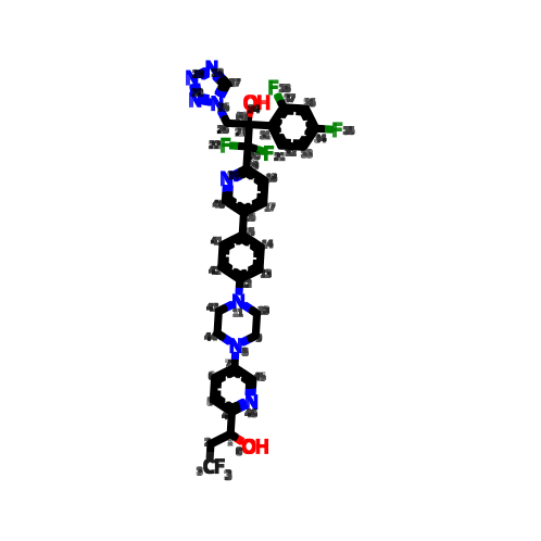 OC(CC(F)(F)F)c1ccc(N2CCN(c3ccc(-c4ccc(C(F)(F)[C@](O)(Cn5cnnn5)c5ccc(F)cc5F)nc4)cc3)CC2)cn1